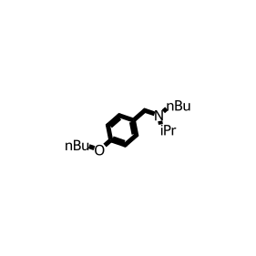 CCCCOc1ccc(CN(CCCC)C(C)C)cc1